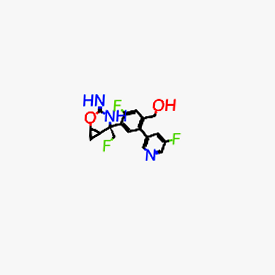 N=C1N[C@](CF)(c2cc(-c3cncc(F)c3)c(CO)cc2F)C2CC2O1